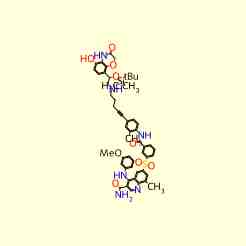 COc1cccc(Nc2c(C(N)=O)cnc3c(C)cc(S(=O)(=O)c4cccc(C(=O)Nc5ccc(C#CCCCNCC(O[Si](C)(C)C(C)(C)C)c6ccc(O)c7c6OCC(=O)N7)cc5C)c4)cc23)c1